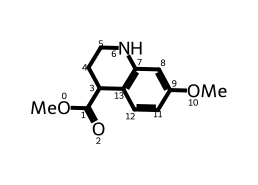 COC(=O)C1CCNc2cc(OC)ccc21